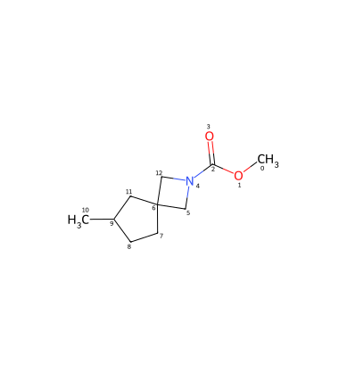 COC(=O)N1CC2(CCC(C)C2)C1